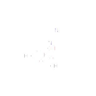 COP(=O)(O)OC.c1ccc2nc3ccccc3nc2c1